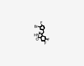 O=c1[nH]nc(Cc2ccc(F)c(Br)c2)c2cc(F)c(F)cc12